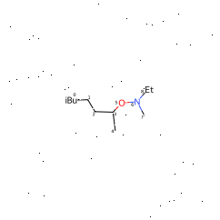 CCC(C)CCC(C)ON(C)CC